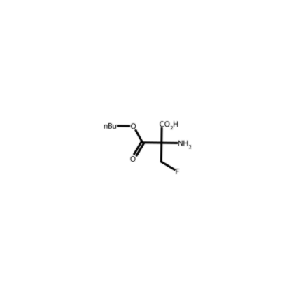 CCCCOC(=O)C(N)(CF)C(=O)O